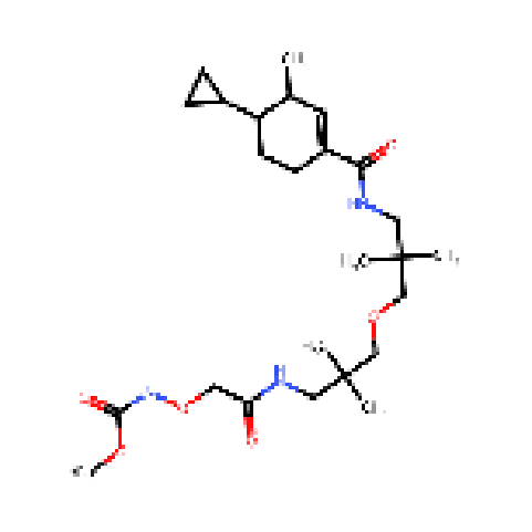 CC1C=C(C(=O)NCC(C)(C)COCC(C)(C)CNC(=O)CONC(=O)OC(C)(C)C)CCC1C1CC1